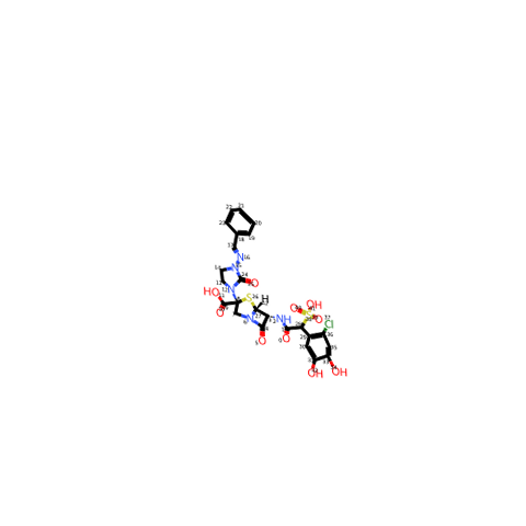 O=C(N[C@@H]1C(=O)N2C[C@@](C(=O)O)(N3CCN(/N=C/c4ccccc4)C3=O)S[C@H]12)C(c1cc(O)c(O)cc1Cl)S(=O)(=O)O